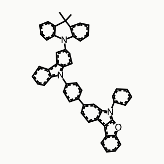 CC1(C)c2ccccc2N(c2ccc3c(c2)c2ccccc2n3-c2ccc(-c3ccc4c5c6ccccc6oc5n(-c5ccccc5)c4c3)cc2)c2ccccc21